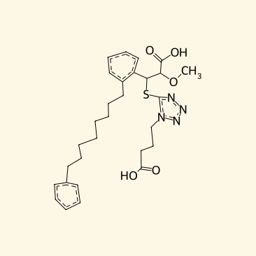 COC(C(=O)O)C(Sc1nnnn1CCCC(=O)O)c1ccccc1CCCCCCCCc1ccccc1